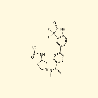 CCC(=O)NC1CC[C@@H](N(C)C(=O)c2ccc(-c3ccc4c(c3)C(F)(F)C(=O)N4)nc2)C1